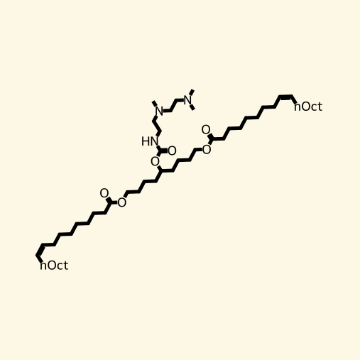 CCCCCCCC/C=C\CCCCCCCC(=O)OCCCCC(CCCCOC(=O)CCCCCCC/C=C\CCCCCCCC)OC(=O)NCCN(C)CCN(C)C